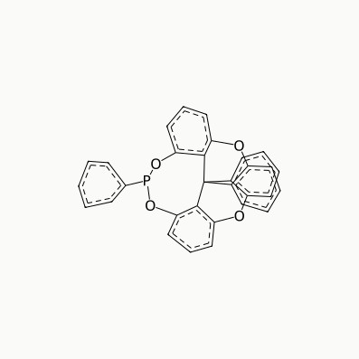 c1ccc(P2Oc3cccc4c3C3(c5ccccc5O4)c4ccccc4Oc4cccc(c43)O2)cc1